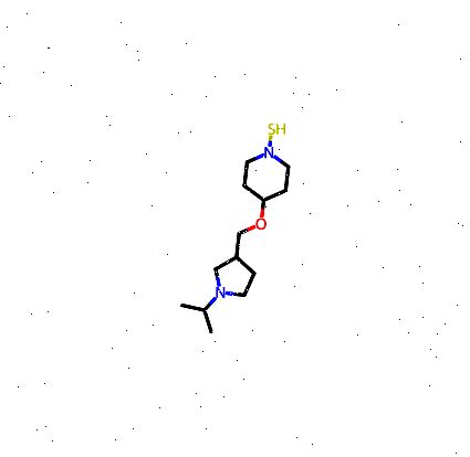 CC(C)N1CCC(COC2CCN(S)CC2)C1